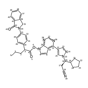 CCCC(C(=O)On1ccc2c(-c3cnn([C@H](CC#N)C4CCCC4)c3)ncnc21)c1ccc(N2Cc3ccccc3C2=O)cc1